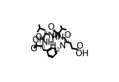 CC(C)C[C@H](NC(=O)[C@@H](NC(=O)[C@@H](N)CCC(=O)O)C(C)C)C(=O)N[C@@H](Cc1ccccc1)C(=O)O